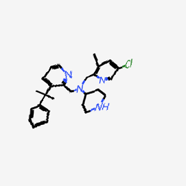 Cc1cc(Cl)cnc1CN(Cc1ncccc1C(C)(C)c1ccccc1)C1CCNCC1